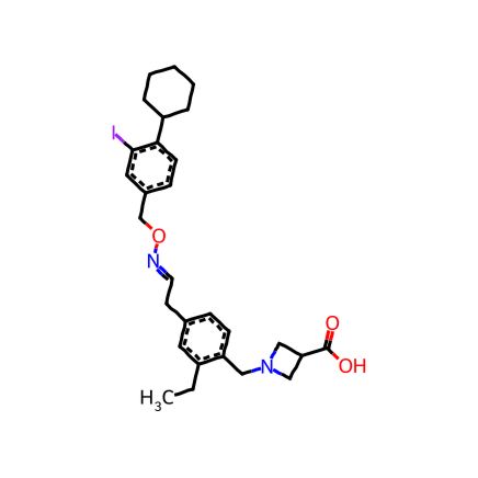 CCc1cc(C/C=N/OCc2ccc(C3CCCCC3)c(I)c2)ccc1CN1CC(C(=O)O)C1